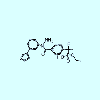 CCOP(=O)(O)C(C)(F)c1ccc(C(=O)N(N)c2cccc(-c3ccsc3)c2)cc1